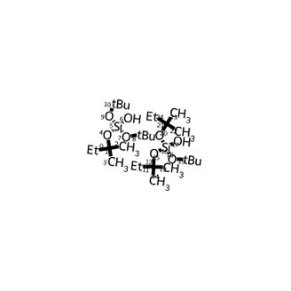 CCC(C)(C)O[Si](O)(OC(C)(C)C)OC(C)(C)C.CCC(C)(C)O[Si](O)(OC(C)(C)C)OC(C)(C)CC